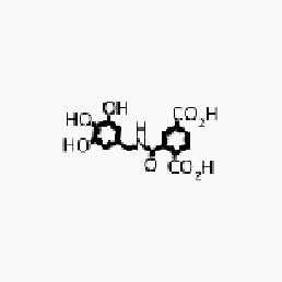 O=C(O)c1ccc(C(=O)O)c(C(=O)NCc2cc(O)c(O)c(O)c2)c1